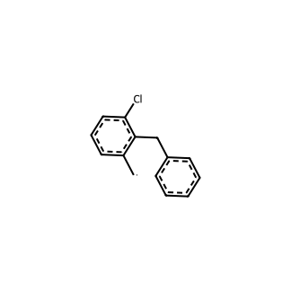 [CH2]c1cccc(Cl)c1Cc1ccccc1